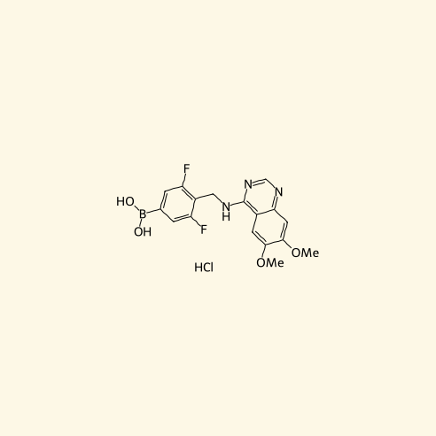 COc1cc2ncnc(NCc3c(F)cc(B(O)O)cc3F)c2cc1OC.Cl